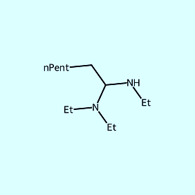 CCCCCCC(NCC)N(CC)CC